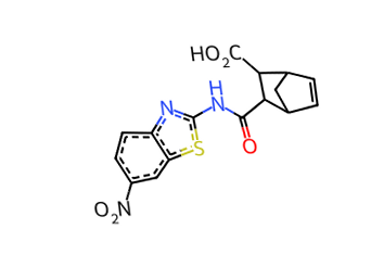 O=C(O)C1C2C=CC(C2)C1C(=O)Nc1nc2ccc([N+](=O)[O-])cc2s1